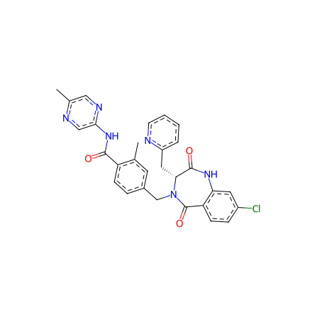 Cc1cnc(NC(=O)c2ccc(CN3C(=O)c4ccc(Cl)cc4NC(=O)[C@H]3Cc3ccccn3)cc2C)cn1